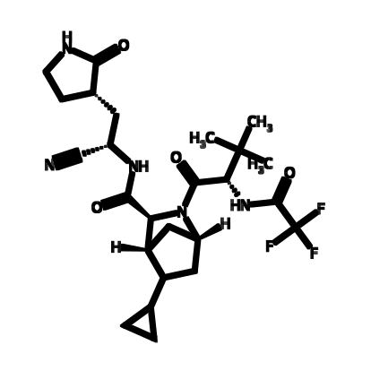 CC(C)(C)[C@H](NC(=O)C(F)(F)F)C(=O)N1[C@@H]2CC(C3CC3)[C@@H](C2)[C@H]1C(=O)N[C@H](C#N)C[C@@H]1CCNC1=O